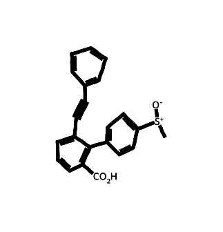 C[S+]([O-])c1ccc(-c2c(C#Cc3ccccc3)cccc2C(=O)O)cc1